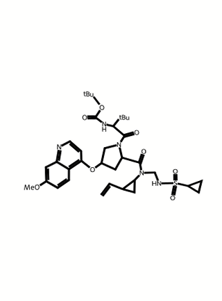 C=CC1CC1N(CNS(=O)(=O)C1CC1)C(=O)C1CC(Oc2ccnc3cc(OC)ccc23)CN1C(=O)C(NC(=O)OC(C)(C)C)C(C)(C)C